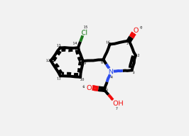 O=C1C=CN(C(=O)O)C(c2ccccc2Cl)C1